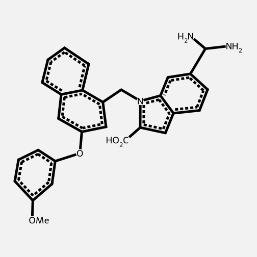 COc1cccc(Oc2cc(Cn3c(C(=O)O)cc4ccc(C(N)N)cc43)c3ccccc3c2)c1